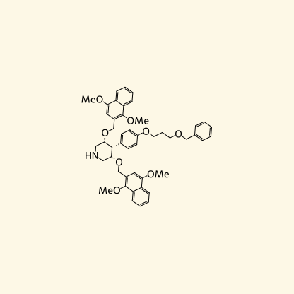 COc1cc(CO[C@H]2CNC[C@@H](OCc3cc(OC)c4ccccc4c3OC)[C@H]2c2ccc(OCCCOCc3ccccc3)cc2)c(OC)c2ccccc12